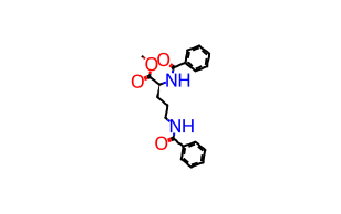 COC(=O)[C@H](CCCNC(=O)c1ccccc1)NC(=O)c1ccccc1